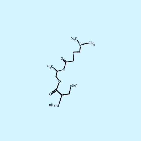 CCCCCCCCCCCC(CCCCC)C(=O)OCC(C)OC(=O)CCCN(C)C